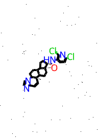 C[C@]12C=Cc3nccn3C1CCC1C2CC[C@@]2(C)C1CC[C@@H]2C(=O)Nc1ccc(Cl)nc1Cl